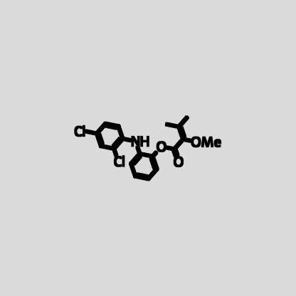 COC(C(=O)Oc1ccccc1Nc1ccc(Cl)cc1Cl)=C(C)C